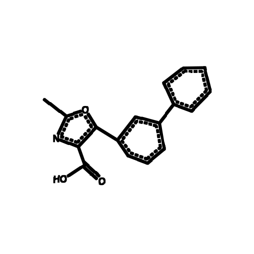 Cc1nc(C(=O)O)c(-c2cccc(-c3ccccc3)c2)o1